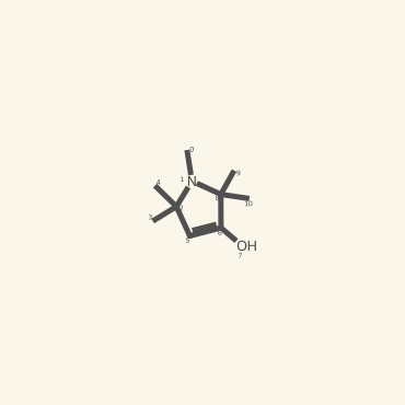 CN1C(C)(C)C=C(O)C1(C)C